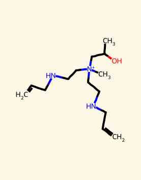 C=CCNCC[N+](C)(CCNCC=C)CC(C)O